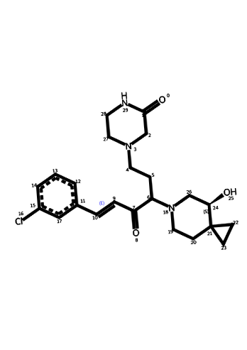 O=C1CN(CCC(C(=O)/C=C/c2cccc(Cl)c2)N2CCC3(CC3)[C@H](O)C2)CCN1